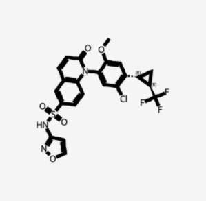 COc1cc([C@@H]2C[C@H]2C(F)(F)F)c(Cl)cc1-n1c(=O)ccc2cc(S(=O)(=O)Nc3ccon3)ccc21